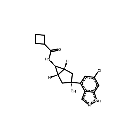 O=C(N[C@H]1[C@@H]2C[C@@](O)(c3cc(Cl)cc4[nH]ncc34)C[C@@H]21)C1CCC1